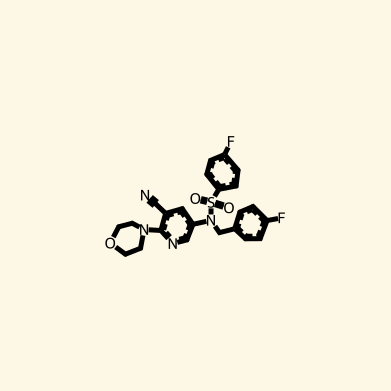 N#Cc1cc(N(Cc2ccc(F)cc2)S(=O)(=O)c2ccc(F)cc2)cnc1N1CCOCC1